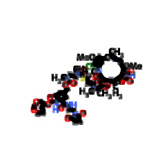 COc1cc2cc(c1Cl)N(C)C(=O)[C@H](OC(=O)[C@H](C)N(C)C(=O)CCSC(=O)N(C)CCN(C)C(=O)OCc1ccc(NC(=O)OC3/C=C/COCOC3)c(C(=O)NCCN3C(=O)C=CC3=O)c1)[C@]1(C)OC1[C@H](C)[C@@H]1C[C@@](O)(NC(=O)O1)[C@H](OC)/C=C/C=C(\C)C2